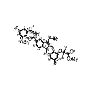 CCCCc1cc(F)cc([C@H](C)NC(=O)c2ccc3c(c2)N(CC(C)C)C(C)C3Cc2cc(F)cc(OC(C)(C)C(=O)OC)c2)c1